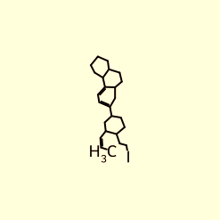 C/C=C\C1CC(C2=CC=C3C(CCC4CCCCC34)C2)CCC1CCI